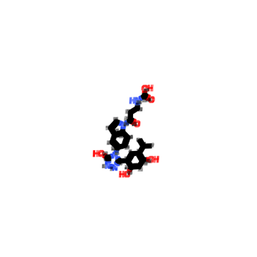 CC(C)c1cc(-c2nnc(O)n2-c2ccc3c(ccn3C(=O)CCNC(=O)O)c2)c(O)cc1O